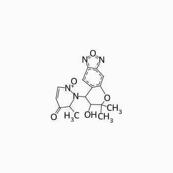 CC1C(=O)C=C[N+](=O)N1C1c2cc3nonc3cc2OC(C)(C)C1O